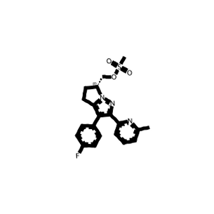 Cc1cccc(-c2nn3c(c2-c2ccc(F)cc2)CC[C@@H]3COS(C)(=O)=O)n1